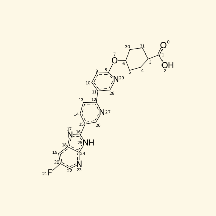 O=C(O)C1CCC(Oc2ccc(-c3ccc(-c4nc5cc(F)cnc5[nH]4)cn3)cn2)CC1